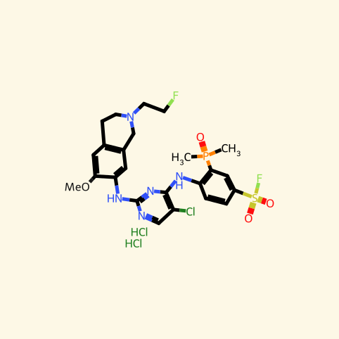 COc1cc2c(cc1Nc1ncc(Cl)c(Nc3ccc(S(=O)(=O)F)cc3P(C)(C)=O)n1)CN(CCF)CC2.Cl.Cl